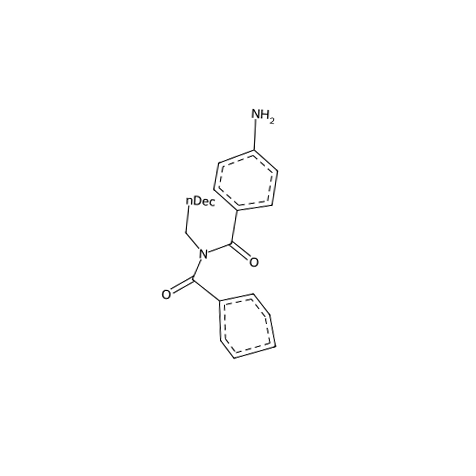 CCCCCCCCCCCN(C(=O)c1ccccc1)C(=O)c1ccc(N)cc1